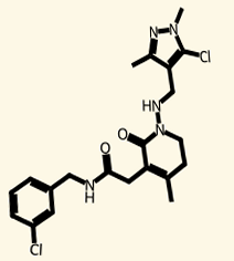 CC1=C(CC(=O)NCc2cccc(Cl)c2)C(=O)N(NCc2c(C)nn(C)c2Cl)CC1